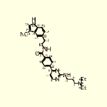 CCN(CC)CCCNc1nccc(-c2ccc(C(=O)NCCc3ccc4[nH]cc(C#N)c4c3)cc2)n1